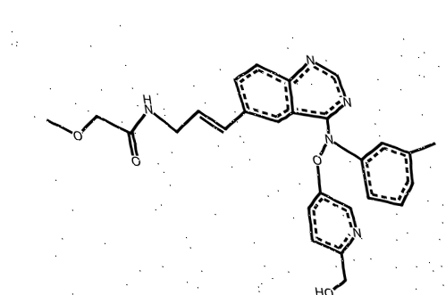 COCC(=O)NC/C=C/c1ccc2ncnc(N(Oc3ccc(CO)nc3)c3cccc(C)c3)c2c1